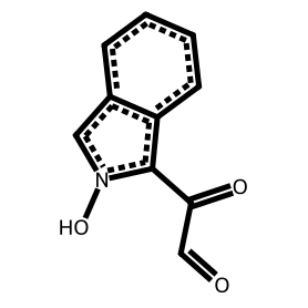 O=CC(=O)c1c2ccccc2cn1O